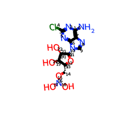 Nc1nc(Cl)nc2c1ncn2[C@@H]1O[C@H](CON(O)O)[C@@H](O)[C@H]1O